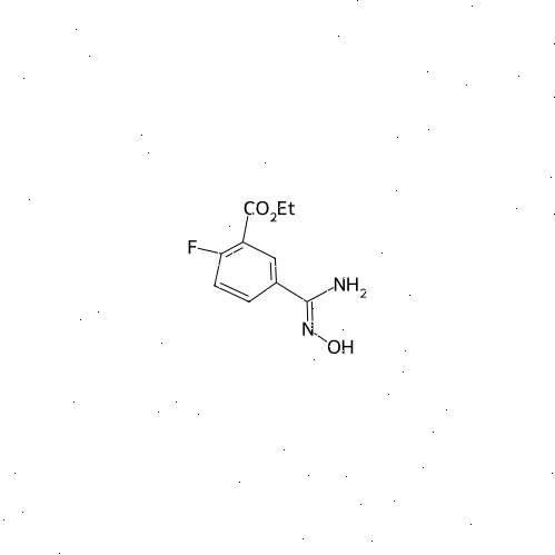 CCOC(=O)c1cc(/C(N)=N/O)ccc1F